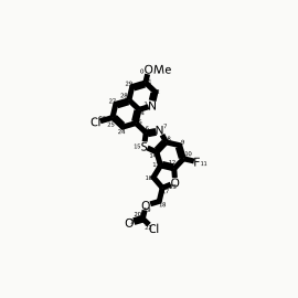 COc1cnc2c(-c3nc4cc(F)c5c(c4s3)CC(COC(=O)Cl)O5)cc(Cl)cc2c1